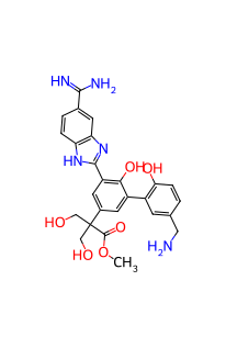 COC(=O)C(CO)(CO)c1cc(-c2nc3cc(C(=N)N)ccc3[nH]2)c(O)c(-c2cc(CN)ccc2O)c1